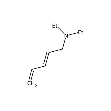 C=CC=CCN(CC)CC